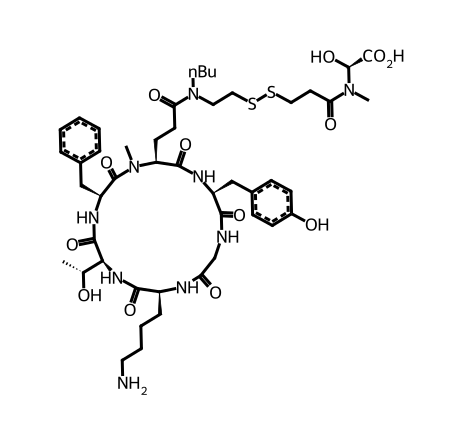 CCCCN(CCSSCCC(=O)N(C)[C@@H](O)C(=O)O)C(=O)CC[C@H]1C(=O)N[C@@H](Cc2ccc(O)cc2)C(=O)NCC(=O)N[C@@H](CCCCN)C(=O)N[C@@H]([C@@H](C)O)C(=O)N[C@@H](Cc2ccccc2)C(=O)N1C